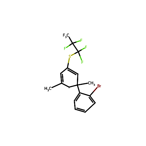 CC1=CC(SC(F)(F)C(F)(F)C(F)(F)F)=CC(C)(c2ccccc2Br)[CH]1